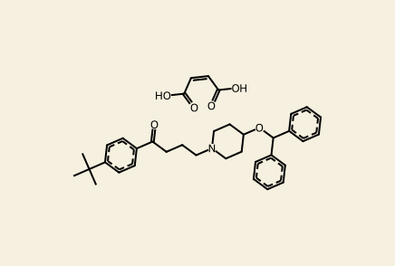 CC(C)(C)c1ccc(C(=O)CCCN2CCC(OC(c3ccccc3)c3ccccc3)CC2)cc1.O=C(O)/C=C\C(=O)O